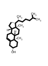 CC(C)CCC[C@@H](C)[C@H]1CC[C@H]2C3CC=C4C[C@@H](O)CC[C@]4(C)[C@H]3CC[C@]12C